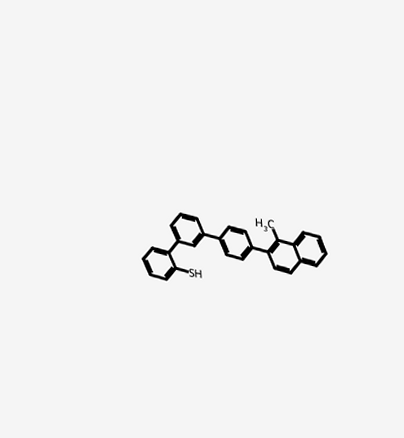 Cc1c(-c2ccc(-c3cccc(-c4ccccc4S)c3)cc2)ccc2ccccc12